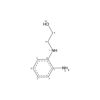 Nc1c[c]ccc1NCCO